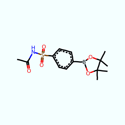 CC(=O)NS(=O)(=O)c1ccc(B2OC(C)(C)C(C)(C)O2)cc1